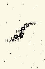 C=CC(=O)Nc1cccc(-c2ccc3cnc(Nc4ccc(N5CCN(CCO)CC5)cc4)cn23)c1